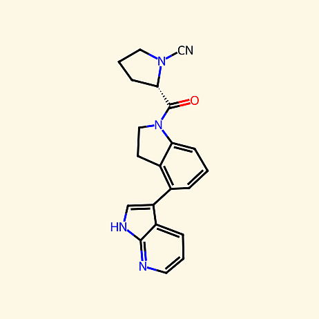 N#CN1CCC[C@H]1C(=O)N1CCc2c(-c3c[nH]c4ncccc34)cccc21